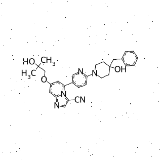 CC(C)(O)COc1cc(-c2ccc(N3CCC(O)(Cc4ccccc4)CC3)nc2)n2c(C#N)cnc2c1